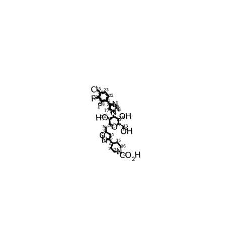 O=C(O)N1CCC(C2=NOC(C[C@H]3O[C@H](CO)[C@H](O)[C@H](n4cc(-c5ccc(Cl)c(F)c5F)nn4)[C@H]3O)C2)CC1